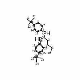 CCCCC(Pc1ccc(C(C)(C)C)cc1)Pc1ccc(C(C)(C)C)cc1